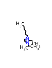 CCCCCCN1C=CN(C(C)C)C1CC